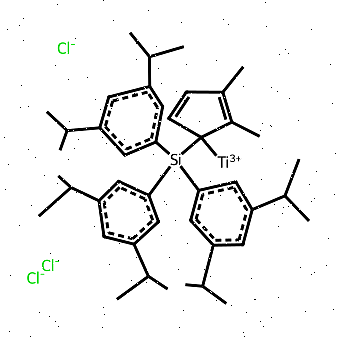 CC1=C(C)[C]([Ti+3])([Si](c2cc(C(C)C)cc(C(C)C)c2)(c2cc(C(C)C)cc(C(C)C)c2)c2cc(C(C)C)cc(C(C)C)c2)C=C1.[Cl-].[Cl-].[Cl-]